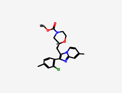 Cc1ccc(-c2nc3cc(C)ccn3c2C[C@H]2CN(C(=O)OC(C)(C)C)CCO2)c(Cl)c1